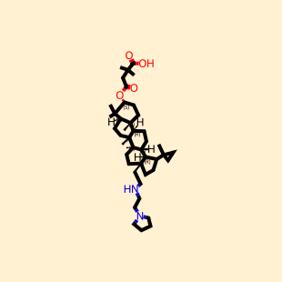 CC(C)(CC(=O)O[C@H]1CC[C@]2(C)[C@H]3CC[C@@H]4[C@H]5C(C6(C)CC6)CC[C@]5(CCNCCN5CCCC5)CC[C@@]4(C)[C@]3(C)CC[C@H]2C1(C)C)C(=O)O